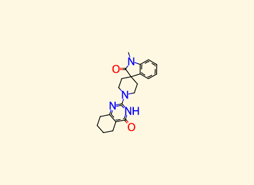 CN1C(=O)C2(CCN(c3nc4c(c(=O)[nH]3)CCCC4)CC2)c2ccccc21